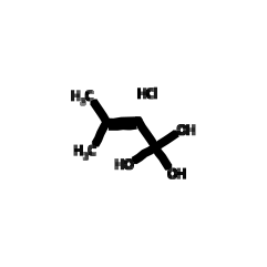 CC(C)=CC(O)(O)O.Cl